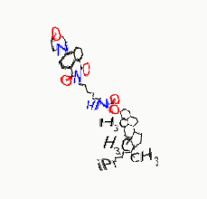 CC(C)CCCC(C)C1CCC2C3CC=C4CCC(OC(=O)NCCCCCCN5C(=O)c6cccc7c(N8CCOCC8)ccc(c67)C5=O)CC4(C)C3CCC12C